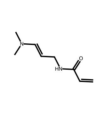 C=CC(=O)NCC=CN(C)C